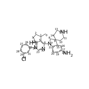 CC1CC[C@@H]2C1=C(N1CC3(CCNCC3)c3cc(N)ccc31)N=CN2c1cccc(Cl)c1